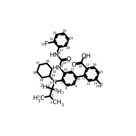 [2H]C([2H])(C(C)C)N(c1ccc(-c2cc(F)ccc2C(=O)O)cc1NC(=O)Nc1ccccc1F)C1CCCCC1